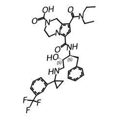 CCN(CC)C(=O)c1cc(C(=O)N[C@@H](Cc2ccccc2)[C@@H](O)CNC2(c3cccc(C(F)(F)F)c3)CC2)n2c1CN(C(=O)O)CC2